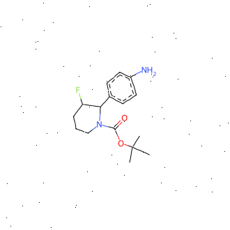 CC(C)(C)OC(=O)N1CCCC(F)C1c1ccc(N)cc1